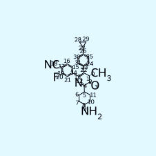 C[C@@H]1C(=O)C(C2CCC(N)CC2)=NC(c2ccc(C#N)c(F)c2)=C1c1ccc(C2CC2)cc1